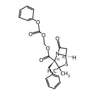 CC1(C)S[C@@H]2CC(=O)N2[C@@]1(Cc1ccccc1)C(=O)OCOC(=O)Oc1ccccc1